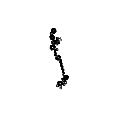 Nc1ncnc2c1c(-c1ccc(Oc3ccccc3)cc1)nn2C1CCCN(C(=O)CCCN2CCN(CCCCCCCCCSc3cccc4c3CN(C3CCC(=O)NC3=O)C4=O)CC2)C1